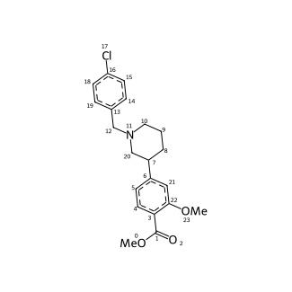 COC(=O)c1ccc(C2CCCN(Cc3ccc(Cl)cc3)C2)cc1OC